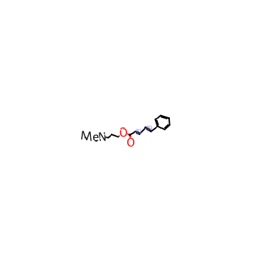 CNCCCOC(=O)/C=C/C=C/c1ccccc1